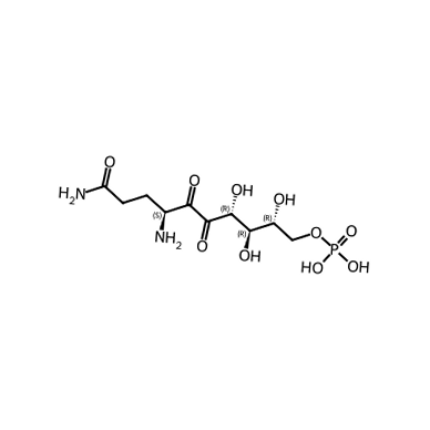 NC(=O)CC[C@H](N)C(=O)C(=O)[C@H](O)[C@H](O)[C@H](O)COP(=O)(O)O